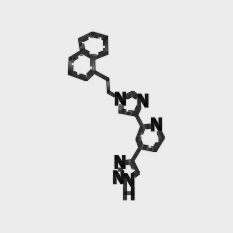 c1ccc2c(CCn3cnc(-c4cc(-c5c[nH]nn5)ccn4)c3)cccc2c1